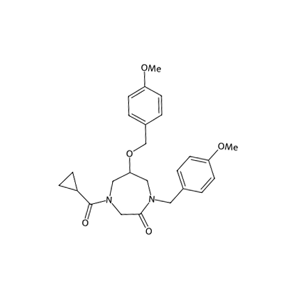 COc1ccc(COC2CN(Cc3ccc(OC)cc3)C(=O)CN(C(=O)C3CC3)C2)cc1